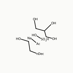 CCCCCCCCCCCCO.C[C](=O)[Na].O=S(=O)(O)O.OCC(O)CO